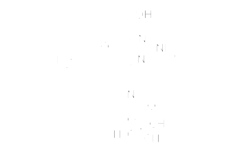 C=CCOc1cccc(O)c1-c1cc(C2CCCN(C(=O)OC(C)(C)C)C2)nc(N)n1